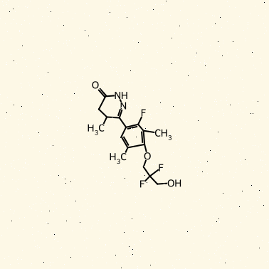 Cc1cc(C2=NNC(=O)CC2C)c(F)c(C)c1OCC(F)(F)CO